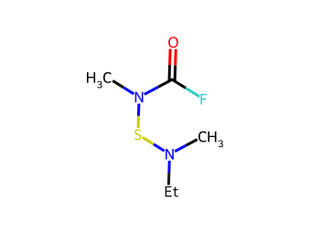 CCN(C)SN(C)C(=O)F